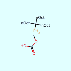 CCCCCCCCC(P)(CCCCCCCC)CCCCCCCC.COC(=O)O